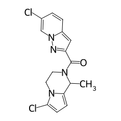 CC1c2ccc(Cl)n2CCN1C(=O)c1cc2ccc(Cl)cn2n1